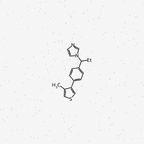 CCC(c1ccc(-c2cscc2C)cc1)n1ccnc1